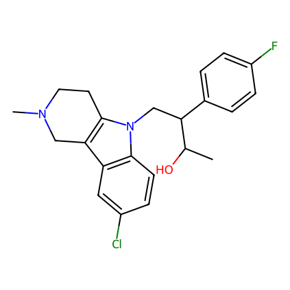 CC(O)C(Cn1c2c(c3cc(Cl)ccc31)CN(C)CC2)c1ccc(F)cc1